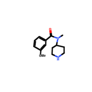 COc1cccc(C(=O)N(C)C2CCNCC2)c1